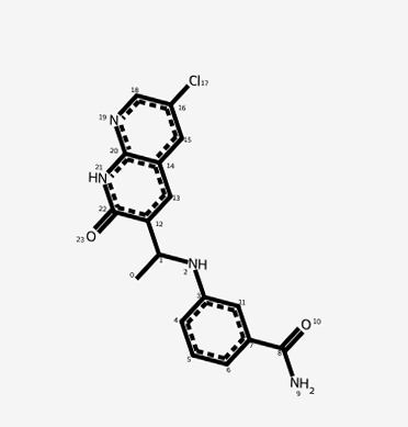 CC(Nc1cccc(C(N)=O)c1)c1cc2cc(Cl)cnc2[nH]c1=O